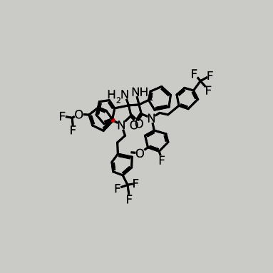 COc1cc(N(CCc2ccc(C(F)(F)F)cc2)C(=O)C(N)(c2ccccc2)C(N)(C(=O)N(CCc2ccc(C(F)(F)F)cc2)c2ccc(OC(F)F)cc2)c2ccccc2)ccc1F